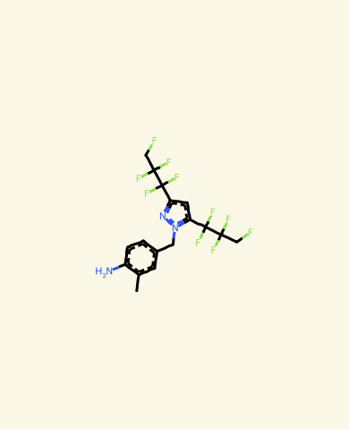 Cc1cc(Cn2nc(C(F)(F)C(F)(F)CF)cc2C(F)(F)C(F)(F)CF)ccc1N